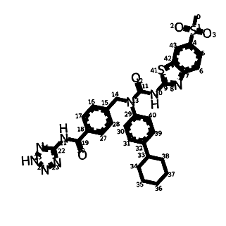 CS(=O)(=O)c1ccc2nc(NC(=O)N(Cc3ccc(C(=O)Nc4nn[nH]n4)cc3)c3ccc(C4CCCCC4)cc3)sc2c1